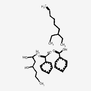 C=CCCCCC(CC)CC.CCCC(O)CC(C)O.O=C(O)c1ccccc1.O=C(O)c1ccccc1